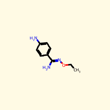 CCON=C(N)c1ccc(N)cc1